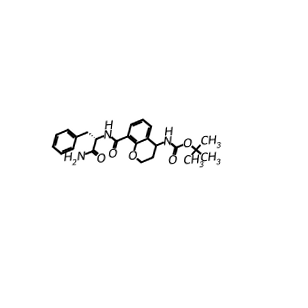 CC(C)(C)OC(=O)NC1CCOc2c(C(=O)N[C@@H](Cc3ccccc3)C(N)=O)cccc21